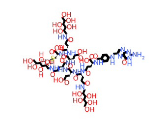 CSC[C@@H](NC(=O)[C@H](CCC(=O)NC[C@H](O)[C@@H](O)[C@H](O)[C@H](O)CO)NC(=O)[C@@H](CCC(=O)O)NC(=O)[C@H](CCC(=O)NC[C@H](O)[C@@H](O)[C@H](O)[C@H](O)CO)NC(=O)[C@@H](CCC(=O)O)NC(=O)[C@H](CCC(=O)NC[C@H](O)[C@@H](O)[C@H](O)[C@H](O)CO)NC(=O)CC[C@H](NC(=O)c1ccc(NCc2cnc3nc(N)[nH]c(=O)c3n2)cc1)C(=O)O)C(=O)O